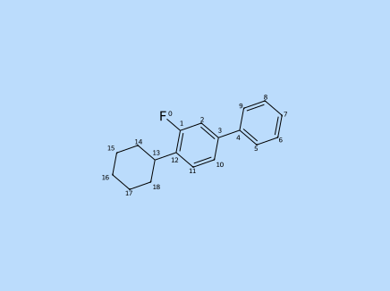 Fc1cc(-c2ccccc2)ccc1C1CCCCC1